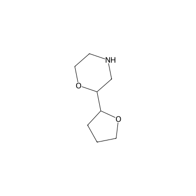 C1COC(C2CNCCO2)C1